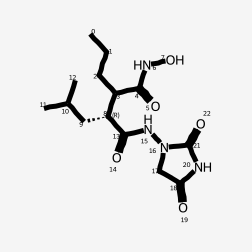 CCCC(C(=O)NO)[C@@H](CC(C)C)C(=O)NN1CC(=O)NC1=O